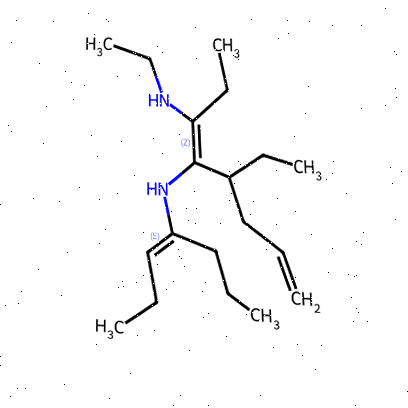 C=CCC(CC)/C(N/C(=C/CC)CCC)=C(\CC)NCC